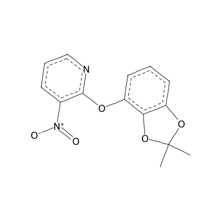 CC1(C)Oc2cccc(Oc3ncccc3[N+](=O)[O-])c2O1